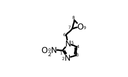 O=[N+]([O-])c1nccn1CC1CO1